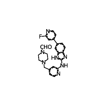 O=CN1CCN(Cc2ccnc(Nc3nc4ccc(-c5ccnc(F)c5)cc4[nH]3)c2)CC1